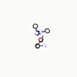 O=C1CCCCC1c1nnc(O)c2c1nc(C1CCCCC1)n2Cc1ccc(-c2ccccc2-c2nnn[nH]2)cc1